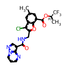 Cc1cc(C(=O)O[C@H](C)C(F)(F)F)c2oc(CNC(=O)c3cnn4cccnc34)c(Cl)c2c1